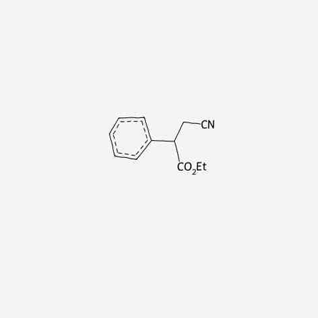 CCOC(=O)C(CC#N)c1ccccc1